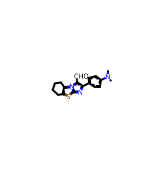 CN(C)c1ccc(-c2nc3sc4c(n3c2C=O)CCCC4)cc1